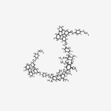 C=Cc1ccc(COc2ccc(C3(c4ccc(OCc5ccc(COc6c(C)cc(Oc7c(C)cc(C(C)(C)c8cc(C)c(Oc9cc(C)c(OCc%10ccc(COc%11ccc(C%12(c%13ccc(OCc%14ccc(C=C)cc%14)cc%13)c%13ccccc%13-c%13ccccc%13%12)cc%11)cc%10)c(C)c9)c(C)c8)cc7C)cc6C)cc5)cc4)c4ccccc4-c4ccccc43)cc2)cc1